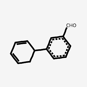 O=Cc1cccc(C2C=CC=CC2)c1